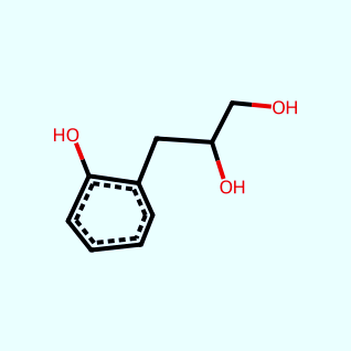 OCC(O)Cc1ccccc1O